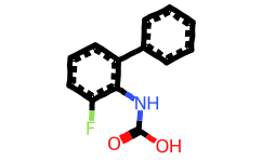 O=C(O)Nc1c(F)cccc1-c1ccccc1